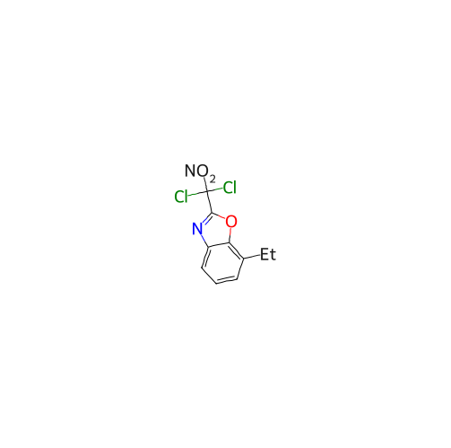 CCc1cccc2nc(C(Cl)(Cl)[N+](=O)[O-])oc12